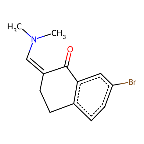 CN(C)C=C1CCc2ccc(Br)cc2C1=O